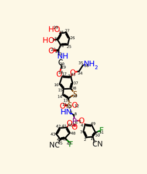 N#Cc1ccc(OP(=O)(CNS(=O)(=O)c2cc3cc(OCCNC(=O)c4cccc(O)c4O)c(OCCN)cc3s2)Oc2ccc(C#N)c(F)c2)cc1F